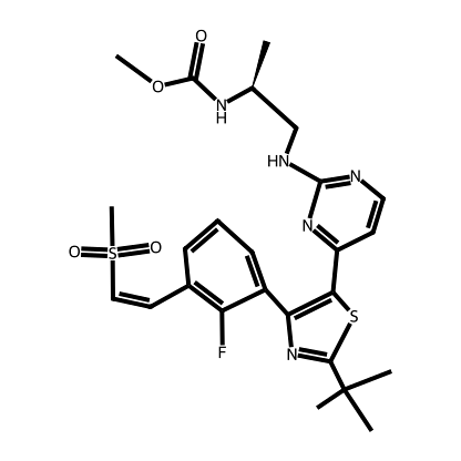 COC(=O)N[C@@H](C)CNc1nccc(-c2sc(C(C)(C)C)nc2-c2cccc(/C=C\S(C)(=O)=O)c2F)n1